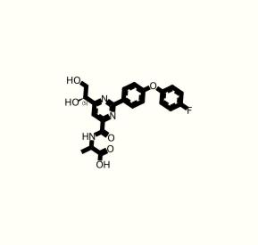 CC(NC(=O)c1cc([C@H](O)CO)nc(-c2ccc(Oc3ccc(F)cc3)cc2)n1)C(=O)O